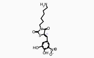 NCCCCCCN1C(=O)S/C(=C\c2cc(O)c(O)c([N+](=O)[O-])c2)C1=O